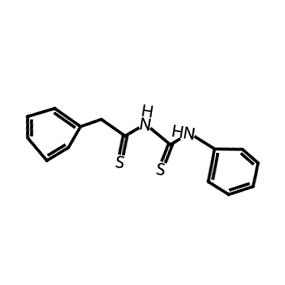 S=C(Cc1ccccc1)NC(=S)Nc1ccccc1